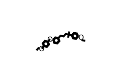 CCOc1ccc(Oc2cccc(CCCC(C)(C)c3ccc(OCC)cc3)c2)cc1